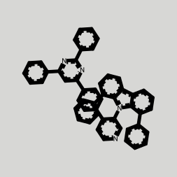 c1ccc(-c2cc(-c3ccc(-c4ccncc4-n4c5c(-c6ccccc6)cccc5c5cccc(-c6ccccc6)c54)cc3)nc(-c3ccccc3)n2)cc1